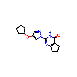 O=c1[nH]c(-n2cc(OC3CCCC3)cn2)nc2c1CCC2